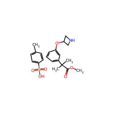 COC(=O)C(C)(C)c1cccc(OC2CNC2)c1.Cc1ccc(S(=O)(=O)O)cc1